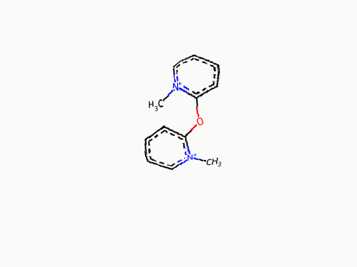 C[n+]1ccccc1Oc1cccc[n+]1C